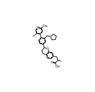 COc1cc(-c2ccc(C3CCc4ccc(CC(C)C(=O)O)cc4O3)cc2CN2CCCC2)c(F)cn1